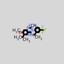 COc1cc2nc(C)nc(N[C@H](C)c3cc(N)cc(C(F)(F)F)c3)c2cc1C(C)C